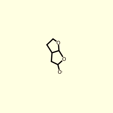 [O]C1CC2CCOC2O1